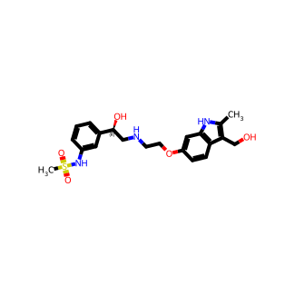 Cc1[nH]c2cc(OCCNC[C@H](O)c3cccc(NS(C)(=O)=O)c3)ccc2c1CO